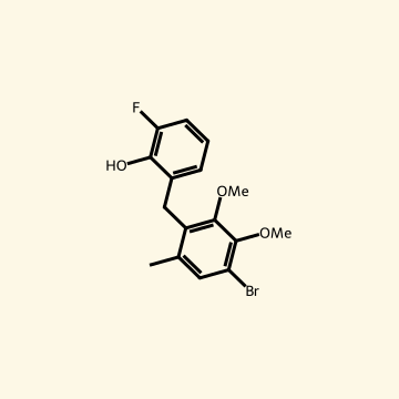 COc1c(Br)cc(C)c(Cc2cccc(F)c2O)c1OC